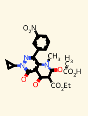 CC(=O)O.CCOC(=O)C1C(=O)c2c(c(-c3cccc([N+](=O)[O-])c3)nn(C3CC3)c2=O)N(C)C1=O